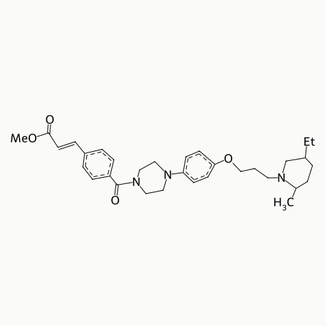 CCC1CCC(C)N(CCCOc2ccc(N3CCN(C(=O)c4ccc(/C=C/C(=O)OC)cc4)CC3)cc2)C1